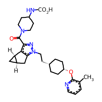 Cc1cccnc1O[C@H]1CC[C@@H](CCn2nc(C(=O)N3CCC(NC(=O)O)CC3)c3c2C[C@H]2C[C@@H]32)CC1